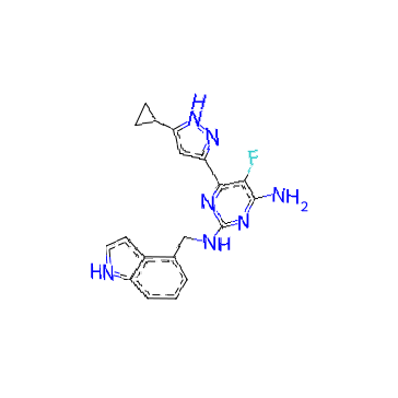 Nc1nc(NCc2cccc3[nH]ccc23)nc(-c2cc(C3CC3)[nH]n2)c1F